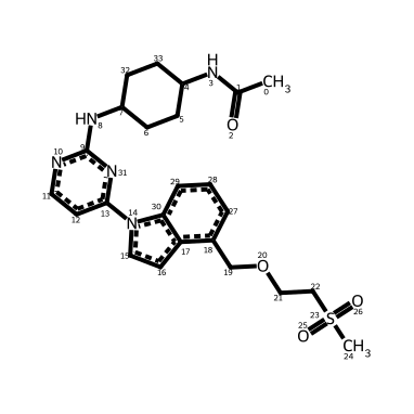 CC(=O)NC1CCC(Nc2nccc(-n3ccc4c(COCCS(C)(=O)=O)cccc43)n2)CC1